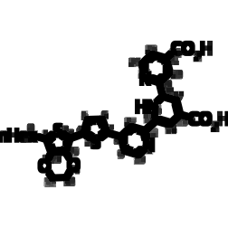 CCCCCCc1sc(-c2ccc(-c3ccnc(C4=CC(C(=O)O)=CC(c5cc(C(=O)O)ccn5)N4)c3)s2)c2c1OCCO2